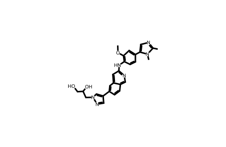 COc1cc(-c2cnc(C)n2C)ccc1Nc1cc2cc(-c3cnn(CC(O)CO)c3)ccc2cn1